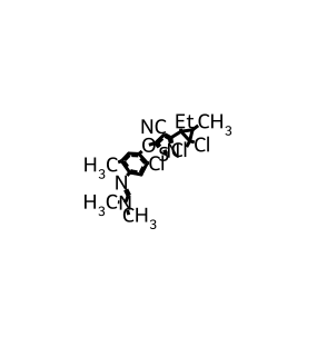 CCC1(c2nsc(Oc3cc(C)c(N=CN(C)C)cc3Cl)c2C#N)C(C)C1(Cl)Cl